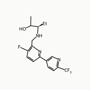 CC[C@@H](NCc1nc(-c2ccc(C(F)(F)F)nc2)ccc1F)C(C)O